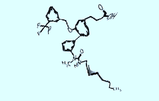 CCCCCCCNC(=O)N(C)c1cccc(-c2ccc(CCC(=O)O)cc2OCc2cccc(C(F)(F)F)c2)c1